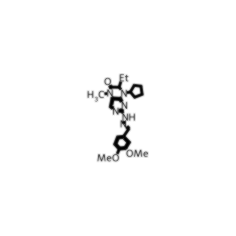 CCC1C(=O)N(C)c2cnc(NN=Cc3ccc(OC)c(OC)c3)nc2N1C1CCCC1